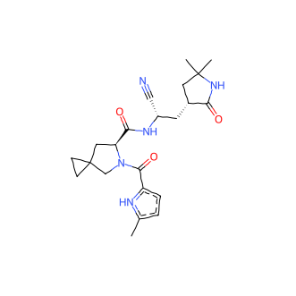 Cc1ccc(C(=O)N2CC3(CC3)C[C@H]2C(=O)N[C@H](C#N)C[C@@H]2CC(C)(C)NC2=O)[nH]1